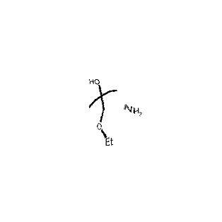 CCOCC(C)(C)O.N